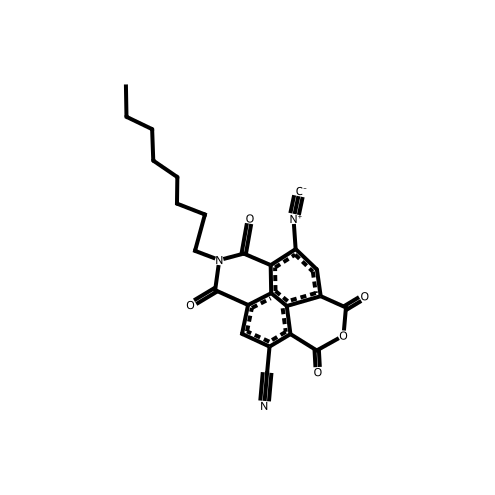 [C-]#[N+]c1cc2c3c(c(C#N)cc4c3c1C(=O)N(CCCCCCCC)C4=O)C(=O)OC2=O